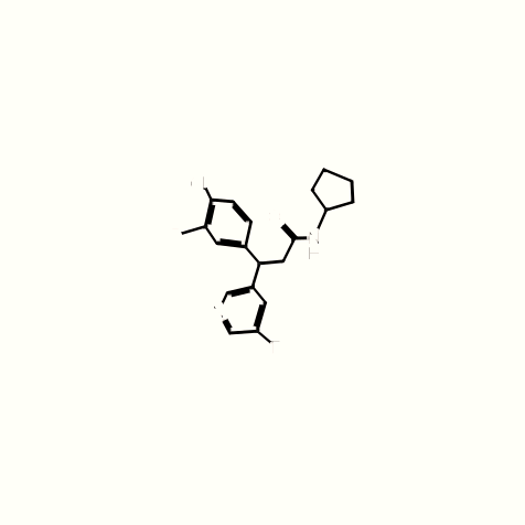 O=C(CC(c1cncc(F)c1)c1ccc(Cl)c(F)c1)NC1CCCC1